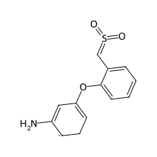 NC1=CC(Oc2ccccc2C=S(=O)=O)=CC[CH]1